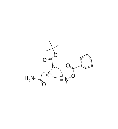 CN(OC(=O)c1ccccc1)[C@@H]1C[C@H](CC(N)=O)N(C(=O)OC(C)(C)C)C1